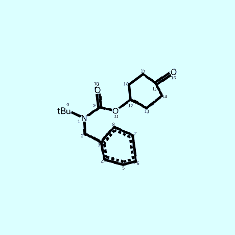 CC(C)(C)N(Cc1ccccc1)C(=O)OC1CCC(=O)CC1